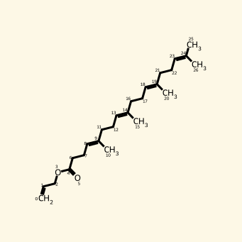 C=CCOC(=O)CC/C=C(\C)CC/C=C(\C)CC/C=C(\C)CCC=C(C)C